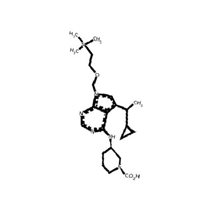 CC(c1cn(COCC[Si](C)(C)C)c2ncnc(N[C@@H]3CCCN(C(=O)O)C3)c12)C1CC1